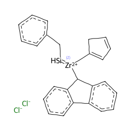 C1=CC[C](/[Zr+2](=[SiH]\Cc2ccccc2)[CH]2c3ccccc3-c3ccccc32)=C1.[Cl-].[Cl-]